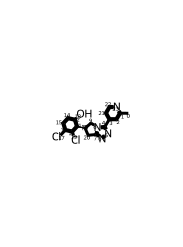 Cc1cc(-c2nnc3n2C[C@H](c2c(O)ccc(Cl)c2Cl)C3)ccn1